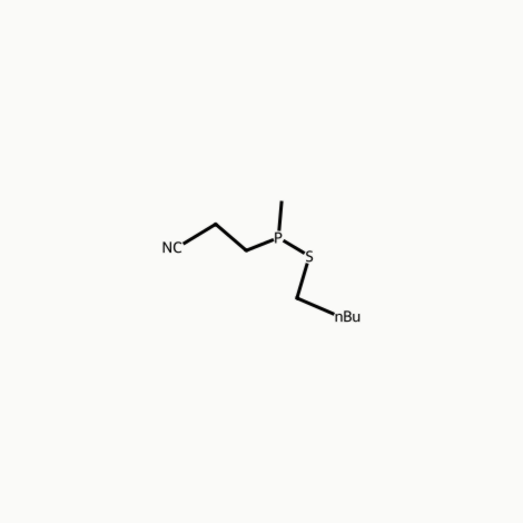 CCCCCSP(C)CCC#N